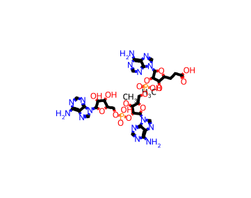 COC1C(CCC(=O)O)OC(n2cnc3c(N)ncnc32)C1OP(=O)(O)OCC1OC(n2cnc3c(N)ncnc32)C(OP(=O)(O)OCC2OC(n3cnc4c(N)ncnc43)C(O)C2O)C1OC